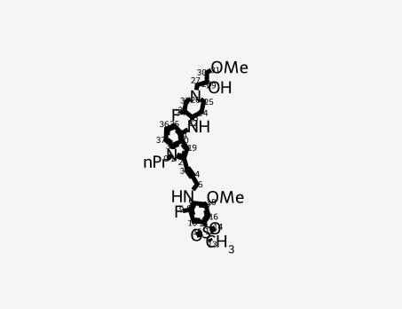 CCCn1c(C#CCNc2c(F)cc(S(C)(=O)=O)cc2OC)cc2c(NC3CCN(CC(O)COC)CC3F)cccc21